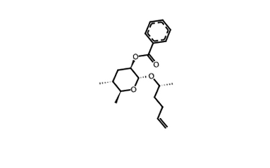 C=CCC[C@@H](C)O[C@@H]1O[C@@H](C)[C@H](C)C[C@H]1OC(=O)c1ccccc1